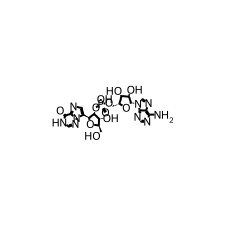 Nc1ncnc2c1ncn2[C@@H]1O[C@H](COP(=O)(O)O[C@@H]2[C@H](O)[C@@H](CO)O[C@H]2c2cnc3c(=O)[nH]cnn23)[C@@H](O)[C@H]1O